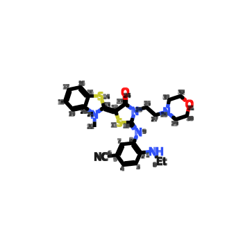 CCNc1ccc(C#N)cc1N=C1SC(=C2Sc3ccccc3N2C)C(=O)N1CCN1CCOCC1